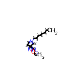 CCCCCCCCN1CC[C@](N)(COC)C1